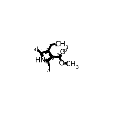 CCc1c(I)[nH]c(I)c1C(=O)OC